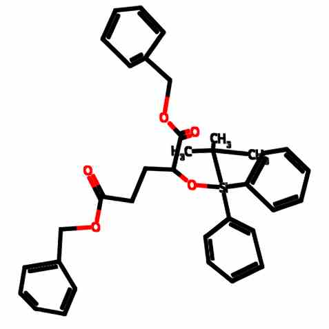 CC(C)(C)[Si](OC(CCC(=O)OCc1ccccc1)C(=O)OCc1ccccc1)(c1ccccc1)c1ccccc1